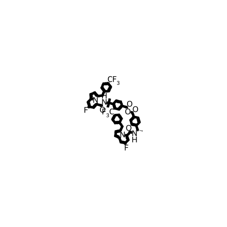 C[C@H](NC(=O)c1cc(F)cc2ccc(Cc3ccc(C(F)(F)F)cc3)n12)c1ccc(C(=O)OC(=O)c2ccc(C(C)(C)NC(=O)c3cc(F)cc4ccc(Cc5ccc(C(F)(F)F)cc5)n34)cc2)cc1